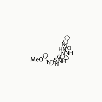 COc1ccccc1CN1CCc2nc(NC(=O)c3cccc4[nH]c(NC(=O)c5cc6ccccc6cn5)nc34)sc2C1